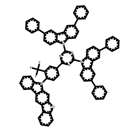 FC(F)(F)c1cc(-c2nc(-n3c4ccc(-c5ccccc5)cc4c4cc(-c5ccccc5)ccc43)nc(-n3c4ccc(-c5ccccc5)cc4c4cc(-c5ccccc5)ccc43)n2)ccc1-n1c2ccccc2c2cc3c(cc21)oc1ccccc13